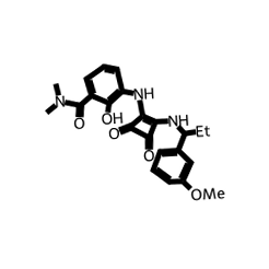 CCC(Nc1c(Nc2cccc(C(=O)N(C)C)c2O)c(=O)c1=O)c1cccc(OC)c1